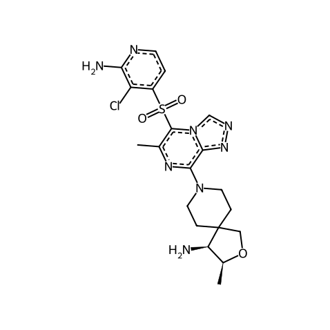 Cc1nc(N2CCC3(CC2)CO[C@@H](C)[C@H]3N)c2nncn2c1S(=O)(=O)c1ccnc(N)c1Cl